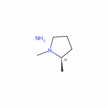 C[C@@H]1CCCN1C.N